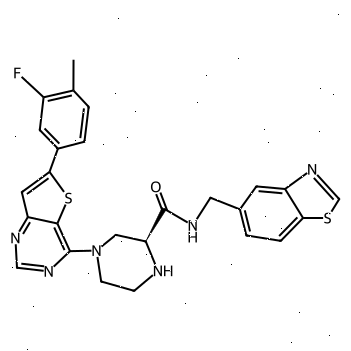 Cc1ccc(-c2cc3ncnc(N4CCN[C@H](C(=O)NCc5ccc6scnc6c5)C4)c3s2)cc1F